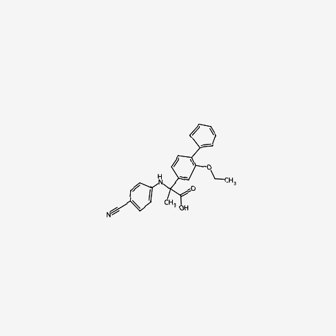 CCOc1cc(C(C)(Nc2ccc(C#N)cc2)C(=O)O)ccc1-c1ccccc1